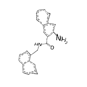 Nc1cc2ccccc2cc1C(=O)NCc1cccc2ccccc12